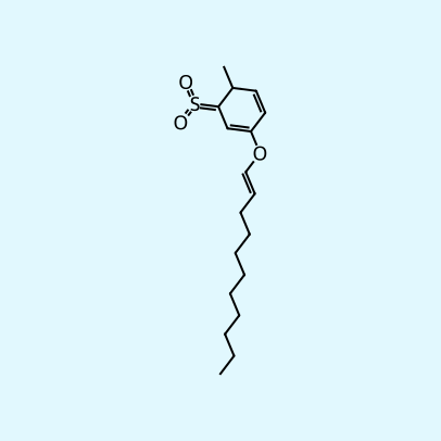 CCCCCCCCCC=COC1=CC(=S(=O)=O)C(C)C=C1